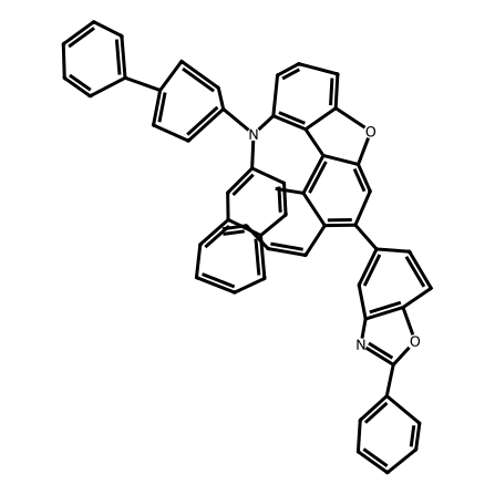 C=C/C=C\c1c(-c2ccc3oc(-c4ccccc4)nc3c2)cc2oc3cccc(N(c4ccc(-c5ccccc5)cc4)c4ccc5ccccc5c4)c3c2c1C